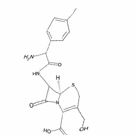 Cc1ccc(C(N)C(=O)NC2C(=O)N3C(C(=O)O)=C(CO)CS[C@H]23)cc1